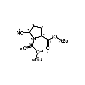 CC(C)(C)OC(=O)C1CCC(C#N)N1C(=O)OC(C)(C)C